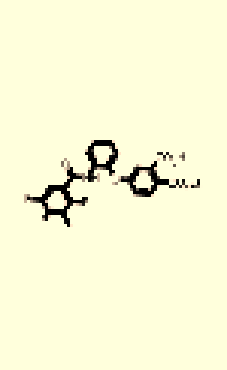 CCOC(=O)c1ccc(Oc2ccccc2NC(=O)c2cc(F)c(F)c(C)c2F)cc1C(=O)O